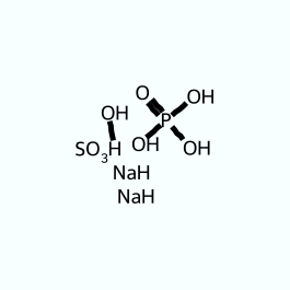 O=P(O)(O)O.O=S(=O)(O)O.[NaH].[NaH]